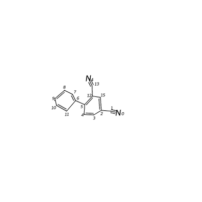 N#Cc1ccc(-c2cc[c]cc2)c(C#N)c1